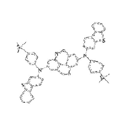 C[Si](C)(C)c1ccc(N(c2cc3cnc4cc(N(c5ccc([Si](C)(C)C)cc5)c5ccc6c(c5)sc5ccccc56)cc5cnc(c2)c3c54)c2ccc3c(c2)sc2ccccc23)cc1